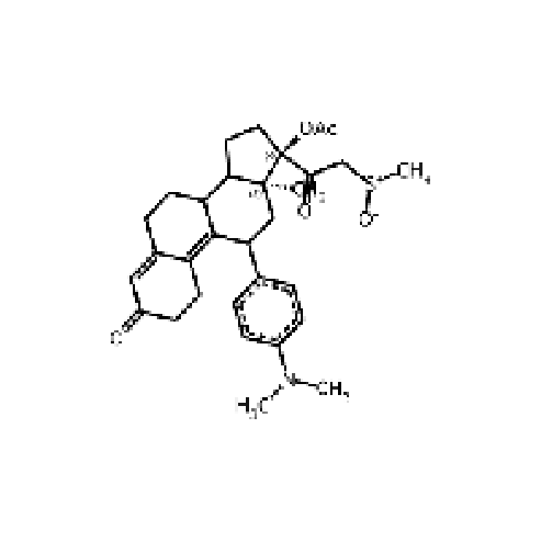 CC(=O)O[C@]1(C(=O)C[S+](C)[O-])CCC2C3CCC4=CC(=O)CCC4=C3C(c3ccc(N(C)C)cc3)C[C@@]21C